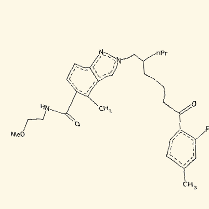 CCCC(CCCC(=O)c1ccc(C)cc1F)Cn1cc2c(C)c(C(=O)NCCOC)ccc2n1